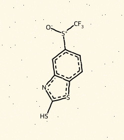 [O-][S+](c1ccc2sc(S)nc2c1)C(F)(F)F